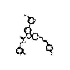 N#Cc1cncc(-c2ccc3c(c2)C2(CCN(C/C=C/c4ccc(Cl)cc4)CC2)CN3C(=O)NCc2ccnc(F)c2)c1